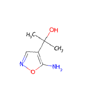 CC(C)(O)c1cnoc1N